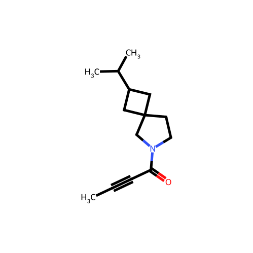 CC#CC(=O)N1CCC2(CC(C(C)C)C2)C1